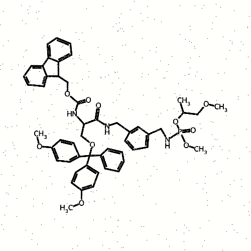 COCC(C)OP(=O)(NCc1cccc(CNC(=O)C(COC(c2ccccc2)(c2ccc(OC)cc2)c2ccc(OC)cc2)NC(=O)OCC2c3ccccc3-c3ccccc32)c1)OC